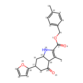 CC1=C(C(=O)OCc2ccc(C)cc2)NC2CC(c3ccco3)CC(=O)C12